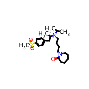 CC(C)N(CCCCN1CCCCCC1=O)C(C)Cc1ccc(S(C)(=O)=O)cc1